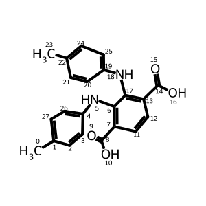 Cc1ccc(Nc2c(C(=O)O)ccc(C(=O)O)c2Nc2ccc(C)cc2)cc1